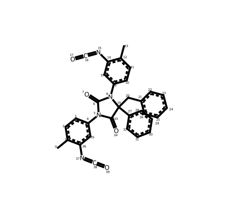 Cc1ccc(N2C(=O)N(c3ccc(C)c(N=C=O)c3)C(Cc3ccccc3)(c3ccccc3)C2=O)cc1N=C=O